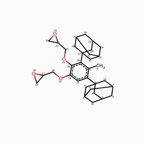 Cc1c(C23CC4CC(CC(C4)C2)C3)cc(OCC2CO2)c(OCC2CO2)c1C12CC3CC(CC(C3)C1)C2